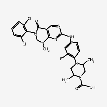 CC1CN(c2ccc(Nc3ncc4c(n3)N(C)CN(c3c(Cl)cccc3Cl)C4=O)cc2F)C(C)CN1C(=O)O